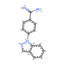 N=C(N)c1ccc(-n2ncc3ccccc32)cc1